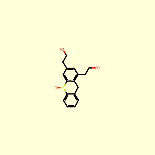 [O-][S+]1c2ccccc2Cc2c(CCO)cc(CCO)cc21